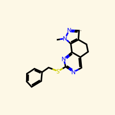 Cn1n[c]c2c1-c1nc(SCc3ccccc3)ncc1CC2